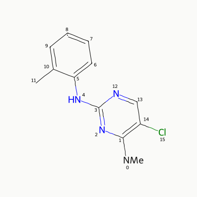 CNc1nc(Nc2cc[c]cc2C)ncc1Cl